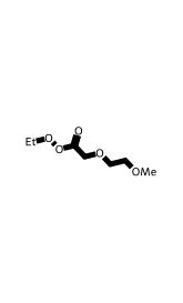 CCOOC(=O)COCCOC